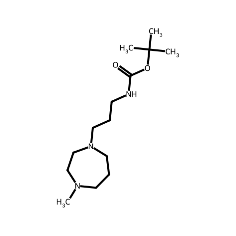 CN1CCCN(CCCNC(=O)OC(C)(C)C)CC1